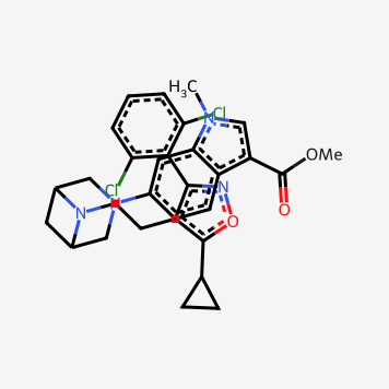 COC(=O)c1cn(C)c2cc(N3CC4CC(C3)N4CCc3c(-c4c(Cl)cccc4Cl)noc3C3CC3)ccc12